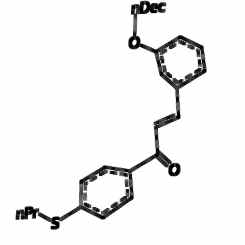 CCCCCCCCCCOc1cccc(C=CC(=O)c2ccc(SCCC)cc2)c1